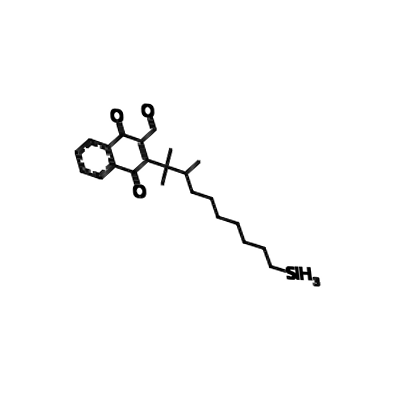 CC(CCCCCCC[SiH3])C(C)(C)C1=C(C=O)C(=O)c2ccccc2C1=O